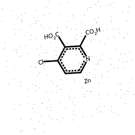 O=C(O)c1nccc(Cl)c1C(=O)O.[Zn]